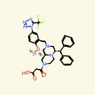 COc1ccc(-n2nnnc2C(F)(F)F)cc1CN1C[C@@H]2CN(C(=O)CC(=O)O)CCN2[C@H](C(c2ccccc2)c2ccccc2)C1